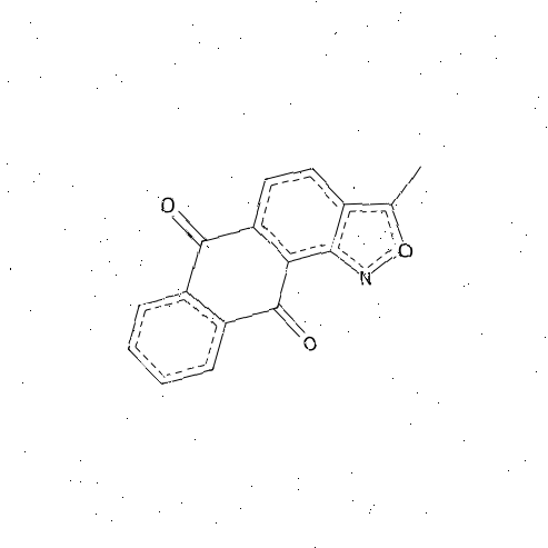 Cc1onc2c3c(ccc12)C(=O)c1ccccc1C3=O